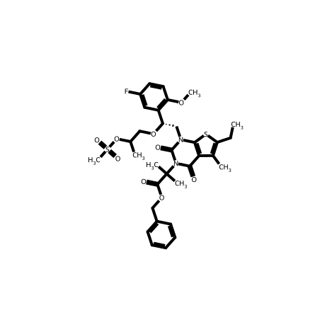 CCc1sc2c(c1C)c(=O)n(C(C)(C)C(=O)OCc1ccccc1)c(=O)n2C[C@H](OCC(C)OS(C)(=O)=O)c1cc(F)ccc1OC